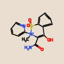 C[N+]1(c2ccccn2)C(C(N)=O)=C(O)c2ccccc2S1(=O)=O